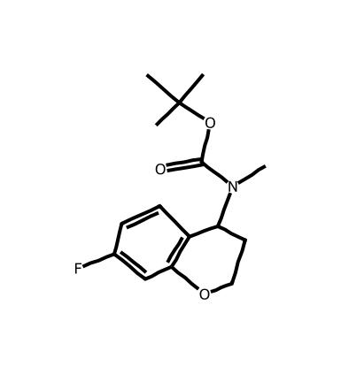 CN(C(=O)OC(C)(C)C)C1CCOc2cc(F)ccc21